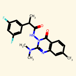 CC(C(=O)Nn1c(N(C)C)nc2cc(C(F)(F)F)ccc2c1=O)c1cc(F)cc(F)c1